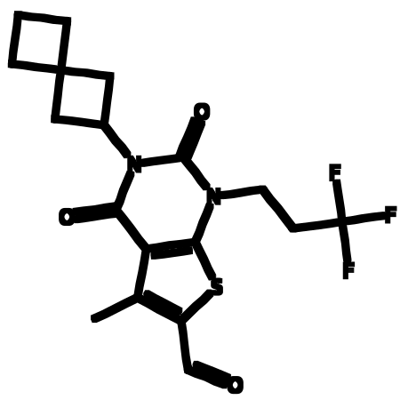 Cc1c(C=O)sc2c1c(=O)n(C1CC3(CCC3)C1)c(=O)n2CCC(F)(F)F